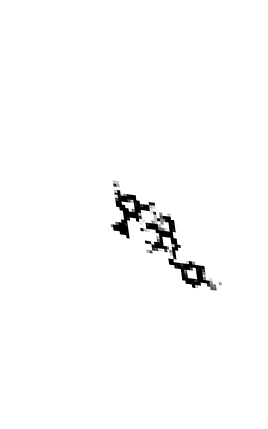 O=C1c2c(ccnc2Oc2c(F)cc(F)cc2C2CC2)CN1Cc1ccc(Br)cc1